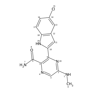 CNc1cnc(C(N)=O)c(-c2cc3cc(Cl)ccc3[nH]2)n1